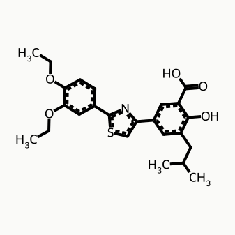 CCOc1ccc(-c2nc(-c3cc(CC(C)C)c(O)c(C(=O)O)c3)cs2)cc1OCC